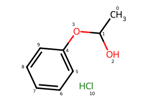 CC(O)Oc1ccccc1.Cl